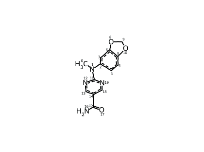 CN(c1ccc2c(c1)OCO2)c1ncc(C(N)=O)cn1